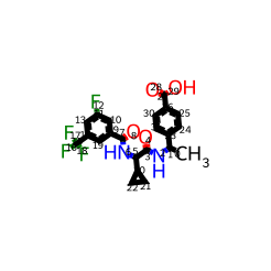 CC(NC(=O)C(NC(=O)c1cc(F)cc(C(F)(F)F)c1)C1CC1)c1ccc(C(=O)O)cc1